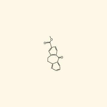 COC(=O)c1ccc2c(c1)CCc1ccccc1C2=O